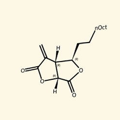 C=C1C(=O)O[C@H]2C(=O)O[C@H](CCCCCCCCCC)[C@@H]12